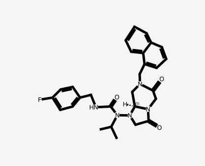 CC(C)N(C(=O)NCc1ccc(F)cc1)N1CC(=O)N2CC(=O)N(Cc3cccc4ccccc34)C[C@@H]21